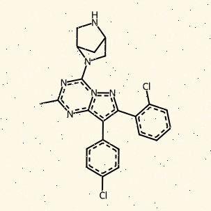 Cc1nc(N2CC3CC2CN3)n2nc(-c3ccccc3Cl)c(-c3ccc(Cl)cc3)c2n1